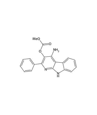 COC(=O)Oc1c(-c2ccccc2)nc2[nH]c3ccccc3c2c1N